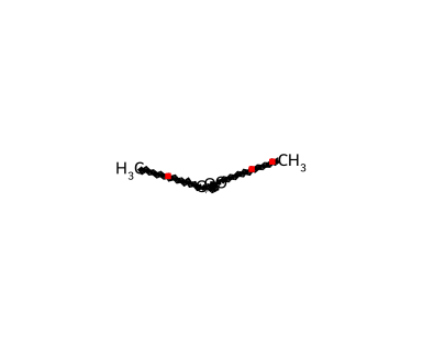 CCCCCCCCCCCCCCCCCCOC[C@H]1CC[C@@H](COCCCCCCCCCCCCCCCCCC)O1